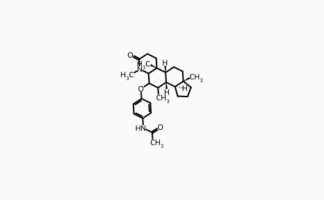 CC(=O)Nc1ccc(OC2C(C)[C@@H]3[C@@H](CC[C@]4(C)CCC[C@@H]34)[C@@]3(C)CCC(=O)N(C)C23)cc1